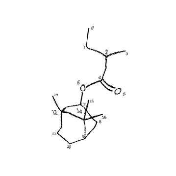 CCC(C)C(=O)OC1CC2CCC1(C)C2(C)C